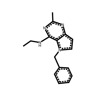 CCNc1nc(C)nc2ccn(Cc3ccccc3)c12